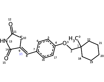 CC1(COc2ccc(/C=C3\SC(=O)NC3=O)cc2)CCCCC1